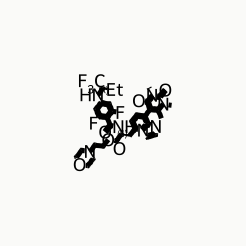 CC[C@@H](Nc1cc(F)c(C(=O)N[C@@H](Cc2ccc(-c3c(C)n(C)c(=O)n(C)c3=O)c3nccn23)C(=O)OCCN2CCOCC2)c(F)c1)C(F)(F)F